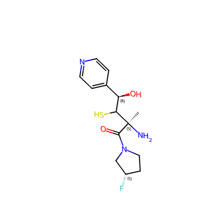 C[C@](N)(C(=O)N1CC[C@H](F)C1)C(S)[C@H](O)c1ccncc1